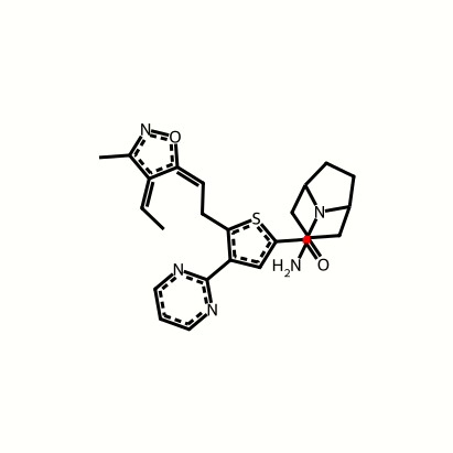 C/C=c1/c(C)no/c1=C/Cc1sc(C(=O)N2C3CCC2CC(N)C3)cc1-c1ncccn1